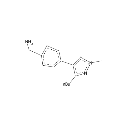 CCCCc1nn(C)[c]c1-c1ccc(CN)cc1